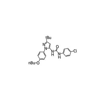 CCCCOc1ccc(-n2nc(C(C)(C)C)cc2NC(=O)Nc2ccc(Cl)cc2)cc1